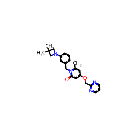 Cc1cc(OCc2ncccn2)cc(=O)n1Cc1cccc(N2CC(C)(C)C2)c1